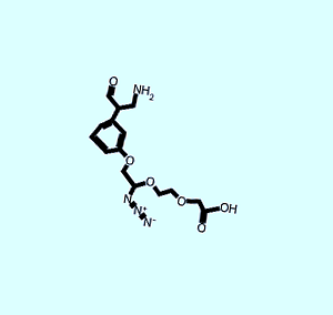 [N-]=[N+]=NC(COc1cccc(C(C=O)CN)c1)OCCOCC(=O)O